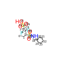 CCC(C(F)(F)C(C)(CC)S(=O)(=O)O)S(=O)(=O)NCc1ccccc1